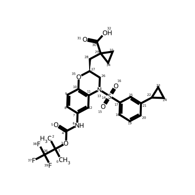 CC(C)(OC(=O)Nc1ccc2c(c1)N(S(=O)(=O)c1cccc(C3CC3)c1)C[C@H](CC1(C(=O)O)CC1)O2)C(F)(F)F